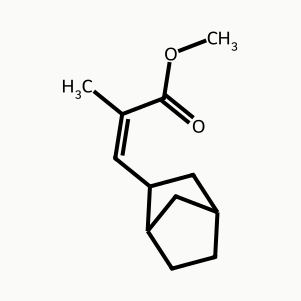 COC(=O)C(C)=CC1CC2CCC1C2